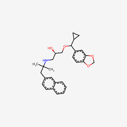 CC(C)(Cc1ccc2ccccc2c1)NC[C@@H](O)COC(c1ccc2c(c1)OCO2)C1CC1